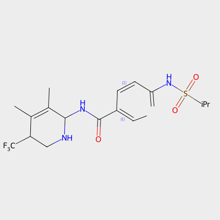 C=C(/C=C\C(=C/C)C(=O)NC1NCC(C(F)(F)F)C(C)=C1C)NS(=O)(=O)C(C)C